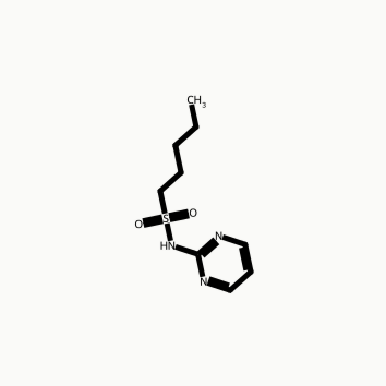 CCCCCS(=O)(=O)Nc1ncccn1